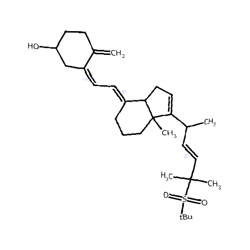 C=C1CCC(O)C/C1=C/C=C1\CCCC2(C)C(C(C)/C=C/C(C)(C)S(=O)(=O)C(C)(C)C)=CCC12